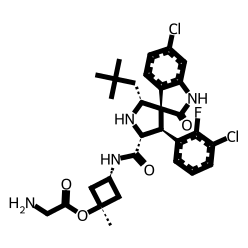 CC(C)(C)C[C@H]1N[C@@H](C(=O)N[C@H]2C[C@](C)(OC(=O)CN)C2)[C@H](c2cccc(Cl)c2F)[C@@]12C(=O)Nc1cc(Cl)ccc12